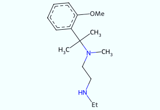 CCNCCN(C)C(C)(C)c1ccccc1OC